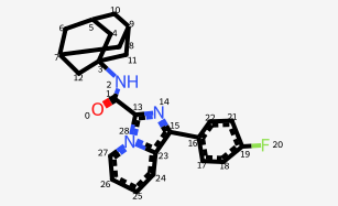 O=C(NC12CC3CC(CC(C3)C1)C2)c1nc(-c2ccc(F)cc2)c2ccccn12